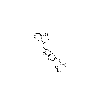 CCO/C(C)=C\c1ccc2oc(CN3CCOc4ccccc43)cc2c1